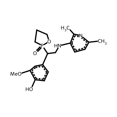 COc1cc(C(CNc2ccc(C)nc2C)P2(=O)CCCO2)ccc1O